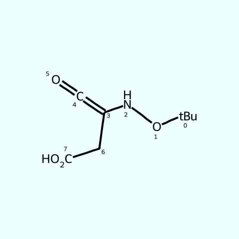 CC(C)(C)ONC(=C=O)CC(=O)O